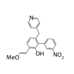 COC=Cc1ccc(Cc2ccncc2)c(-c2cccc([N+](=O)[O-])c2)c1O